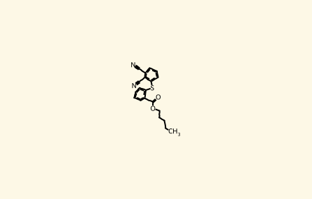 CCCCCOC(=O)c1ccccc1Sc1cccc(C#N)c1C#N